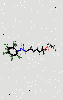 CC(C)(CCCCCNc1c(F)c(F)c(F)c(F)c1F)O[SiH3]